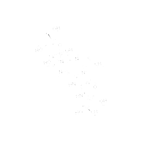 CSc1nc(NC(=O)N[C@H](C(=O)O)[C@@H](C)O)c2ncn(C3(O)O[C@H](CO)[C@@H](O)[C@H]3O)c2n1